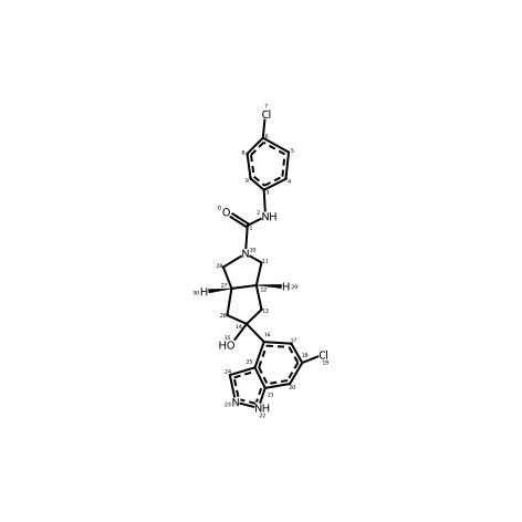 O=C(Nc1ccc(Cl)cc1)N1C[C@@H]2CC(O)(c3cc(Cl)cc4[nH]ncc34)C[C@@H]2C1